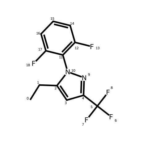 CCc1cc(C(F)(F)F)nn1-c1c(F)cccc1F